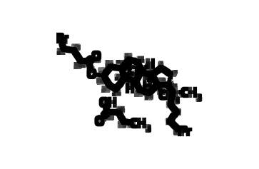 CC(C)CCC[C@@H](C)[C@H]1CC[C@H]2[C@@H]3CC=C4C[C@@H](OC(=O)CCCBr)CC[C@]4(C)[C@H]3CC[C@]12C.CCCC(=O)O